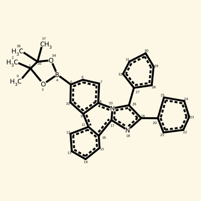 CC1(C)OB(c2ccc3c(c2)c2ccccc2c2nc(-c4ccccc4)c(-c4ccccc4)n32)OC1(C)C